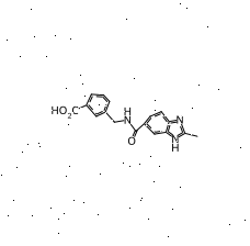 Cc1nc2ccc(C(=O)NCc3cccc(C(=O)O)c3)cc2[nH]1